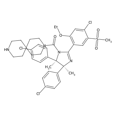 CCOc1cc(Cl)c(S(C)(=O)=O)cc1C1=N[C@@](C)(c2ccc(Cl)cc2)[C@@](C)(c2ccc(Cl)cc2)N1C(=O)N1CCC2(CCNCC2)CC1